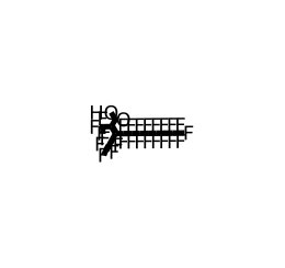 O=C(O)C(=C(C(F)(F)C(F)(F)F)C(F)(F)C(F)(F)C(F)(F)C(F)(F)C(F)(F)C(F)(F)C(F)(F)C(F)(F)F)C(F)(F)F